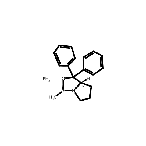 B.CB1OC(c2ccccc2)(c2ccccc2)[C@@H]2CCCN12